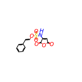 O=C1C=C(NS(=O)(=O)OC=Cc2ccccc2)C(=O)O1